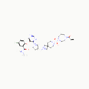 C=CC(=O)N1CCCN(S(=O)(=O)N2CCC3(CC2)CN(C[C@@H]2CCN(c4ncncc4Oc4ccc(F)cc4C(=O)N(C(C)C)C(C)C)C2)C3)CC1